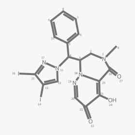 CN1CC(C(c2ccccc2)n2cc(I)c(I)n2)n2ncc(=O)c(O)c2C1=O